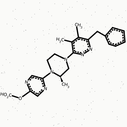 Cc1c(Cc2ccccc2)nnc(N2CCN(c3cnc(OC(=O)O)cn3)[C@H](C)C2)c1C